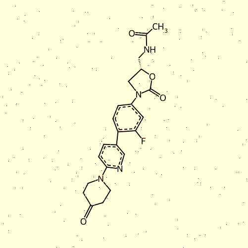 CC(=O)NC[C@H]1CN(c2ccc(-c3ccc(N4CCC(=O)CC4)nc3)c(F)c2)C(=O)O1